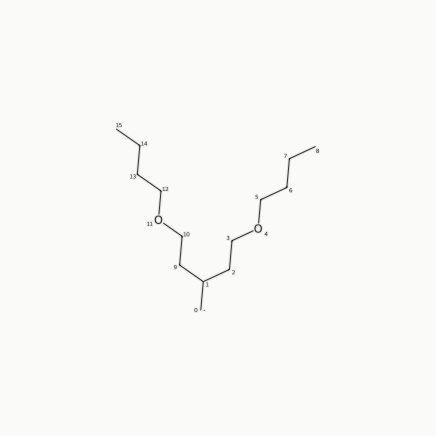 [CH2]C(CCOCCCC)CCOCCCC